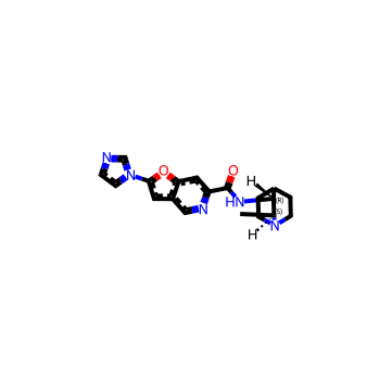 C[C@H]1[C@H](NC(=O)c2cc3oc(-n4ccnc4)cc3cn2)C2CCN1CC2